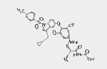 Cc1ccc(S(=O)(=O)n2cc(CC3CC3)c3cc(Oc4c(Cl)cc(NN=C(C#N)C(=O)NC(=O)O)cc4Cl)ccc32)cc1